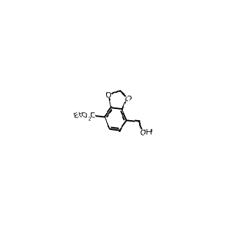 CCOC(=O)c1ccc(CO)c2c1OCO2